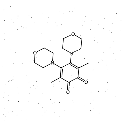 CC1=C(N2CCOCC2)C(N2CCOCC2)=C(C)C(=O)C1=O